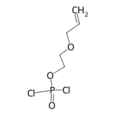 C=CCOCCOP(=O)(Cl)Cl